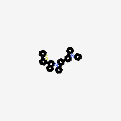 C1=CC(c2ccc3c(c2)c2ccccc2n3-c2ccc(-c3cccc4c3sc3ccccc34)c3ccccc23)Cc2c1n(-c1ccccc1)c1ccccc21